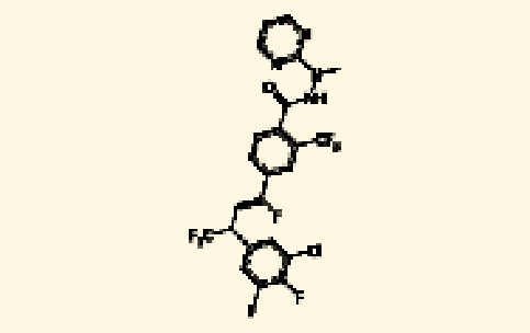 CN(NC(=O)c1ccc(C(F)=CC(c2cc(F)c(F)c(Cl)c2)C(F)(F)F)cc1C(F)(F)F)c1ncccn1